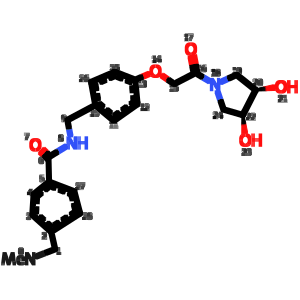 CNCc1ccc(C(=O)NCc2ccc(OCC(=O)N3C[C@@H](O)[C@@H](O)C3)cc2)cc1